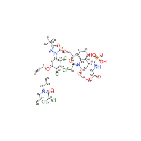 C#CCOc1cc(-n2nc(C(C)(C)C)oc2=O)c(Cl)cc1Cl.C=CCN(CC=C)C(=O)C(Cl)Cl.CCc1cccc(CC)c1N(COC)C(=O)CCl.O=C(O)CNCP(=O)(O)O